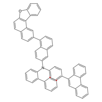 c1ccc(-c2ccccc2N(c2ccc(-c3cc4ccccc4c4ccccc34)cc2)c2ccc3c(-c4ccc5ccc6oc7ccccc7c6c5c4)cccc3c2)cc1